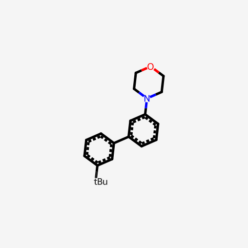 CC(C)(C)c1cccc(-c2cccc(N3CCOCC3)c2)c1